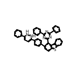 C1=C(c2ccccc2)NNC(c2ccc(-c3ccc4sc5ccccc5c4c3-c3nc(-c4ccccc4)nc(-c4ccccc4)n3)cc2)=C1